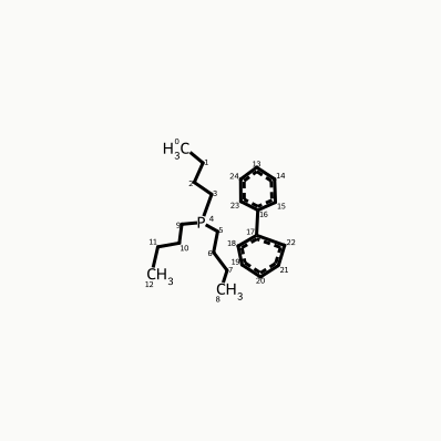 CCCCP(CCCC)CCCC.c1ccc(-c2ccccc2)cc1